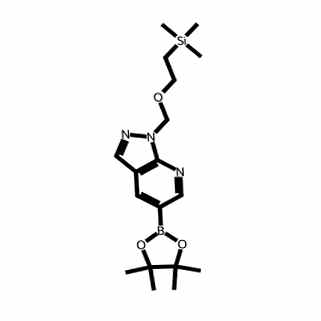 CC1(C)OB(c2cnc3c(cnn3COCC[Si](C)(C)C)c2)OC1(C)C